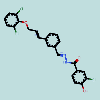 O=C(N/N=C/c1cccc(/C=C/COc2c(Cl)cccc2Cl)c1)c1ccc(O)c(Cl)c1